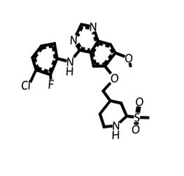 COc1cc2ncnc(Nc3cccc(Cl)c3F)c2cc1OCC1CCNC(S(C)(=O)=O)C1